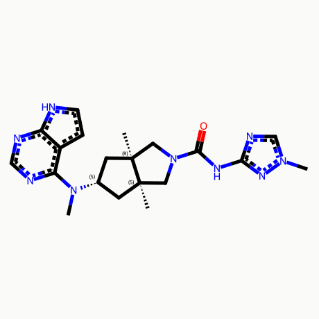 CN(c1ncnc2[nH]ccc12)[C@@H]1C[C@@]2(C)CN(C(=O)Nc3ncn(C)n3)C[C@@]2(C)C1